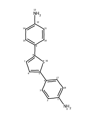 Nc1ccc(-c2ccc(-c3ccc(N)cc3)s2)cc1